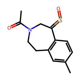 CC(=O)N1CCc2cc(C)ccc2C(=S=O)C1